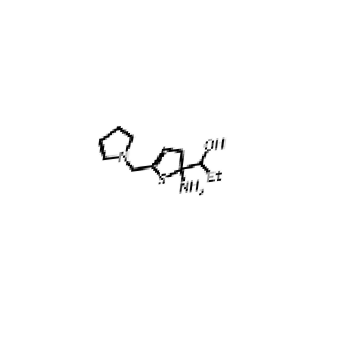 CCC(O)C1(N)CC=C(CN2CCCC2)S1